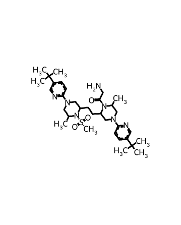 CC1CN(c2ccc(C(C)(C)C)cn2)CC(CCC2CN(c3ccc(C(C)(C)C)cn3)CC(C)N2S(C)(=O)=O)N1C(=O)CN